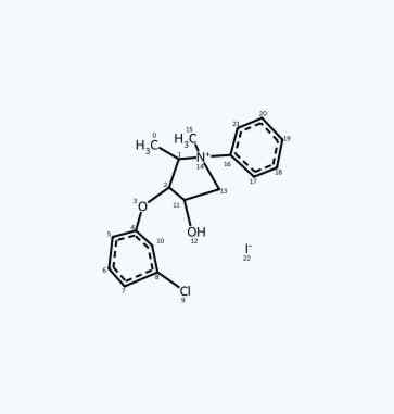 CC1C(Oc2cccc(Cl)c2)C(O)C[N+]1(C)c1ccccc1.[I-]